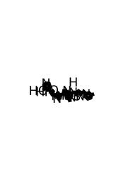 Cc1cn2c(-c3cnn(CC(=O)Nc4ccncc4O)c3)cnc2c(NC2CC(CN3CCCC(C)C3)=NS2)n1